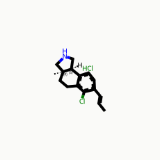 CC=Cc1ccc2c(c1Cl)CC[C@@]1(C)CNC[C@@H]21.Cl